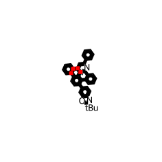 CC(C)(C)c1nc2ccc(-c3ccc4ccccc4c3-c3ccccc3-c3nc(-c4ccccc4)cc(-c4ccccc4)n3)cc2o1